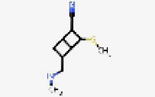 CNCC1CC2C(C#N)C(SC)C12